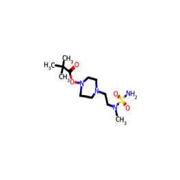 CN(CCN1CCN(OC(=O)C(C)(C)C)CC1)S(N)(=O)=O